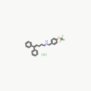 Cl.FC(F)(F)Oc1ccc(CNCCCC=C(c2ccccc2)c2ccccc2)cc1